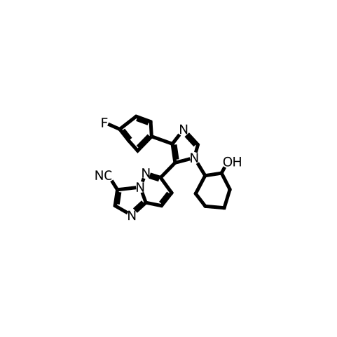 N#Cc1cnc2ccc(-c3c(-c4ccc(F)cc4)ncn3C3CCCCC3O)nn12